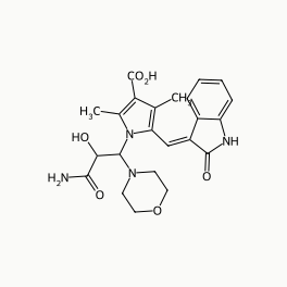 Cc1c(C(=O)O)c(C)n(C(C(O)C(N)=O)N2CCOCC2)c1C=C1C(=O)Nc2ccccc21